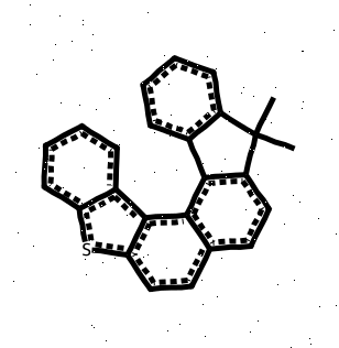 CC1(C)c2ccccc2-c2c1ccc1ccc3sc4ccccc4c3c21